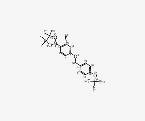 CC1(C)OB(c2ccc(OCc3ccc(OC(F)(F)F)cc3)cc2F)OC1(C)C